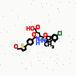 CC(C)(Cc1ccc(Cl)cc1)NC(=O)[C@H](CCC(=O)O)NC(=O)c1ccc(-c2ccc(C=O)s2)cc1